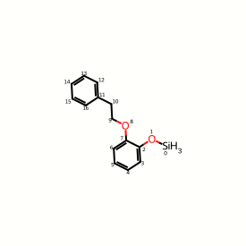 [SiH3]Oc1ccccc1OCCc1ccccc1